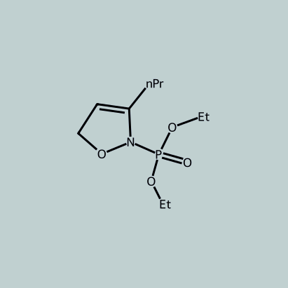 CCCC1=CCON1P(=O)(OCC)OCC